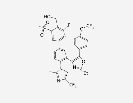 CCc1nc(-c2cc(-c3cc(F)c(CO)c(S(C)(=O)=O)c3)ccc2-n2cc(C(F)(F)F)nc2C)c(-c2ccc(OC(F)(F)F)cc2)o1